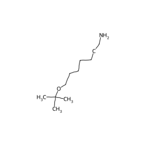 CC(C)(C)OCCCCCCCN